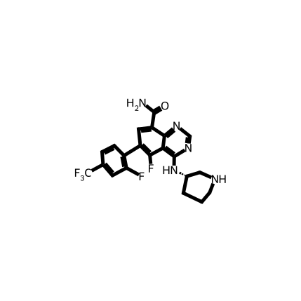 NC(=O)c1cc(-c2ccc(C(F)(F)F)cc2F)c(F)c2c(N[C@H]3CCCNC3)ncnc12